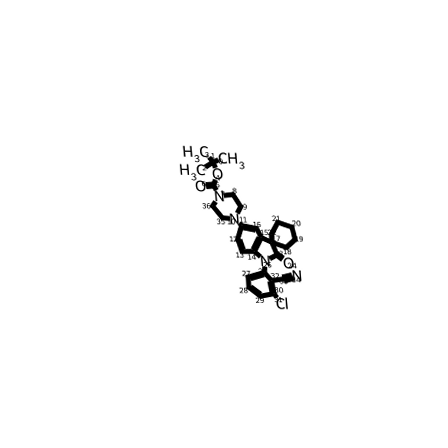 CC(C)(C)OC(=O)N1CCN(c2ccc3c(c2)C2(CCCCC2)C(=O)N3c2cccc(Cl)c2C#N)CC1